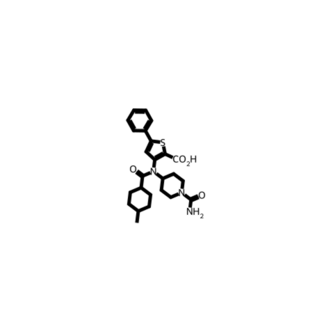 CC1CCC(C(=O)N(c2cc(-c3ccccc3)sc2C(=O)O)C2CCN(C(N)=O)CC2)CC1